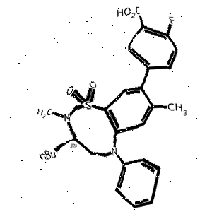 CCCC[C@@H]1CN(c2ccccc2)c2cc(C)c(-c3ccc(F)c(C(=O)O)c3)cc2S(=O)(=O)N1C